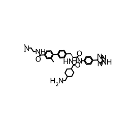 Cc1cc(C(=O)NCCN(C)C)ccc1-c1ccc(C[C@H](NC(=O)C2CCC(CN)CC2)C(=O)Nc2ccc(-c3nn[nH]n3)cc2)cc1